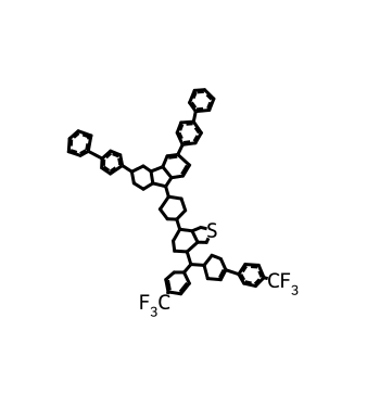 FC(F)(F)C1=CCC(C(C2CC=C(c3ccc(C(F)(F)F)cc3)CC2)C2CCC(C3CCC(C4C5C=CC(c6ccc(-c7ccccc7)cc6)=CC5C5CC(c6ccc(-c7ccccc7)cc6)CCC54)CC3)C3CSCC32)C=C1